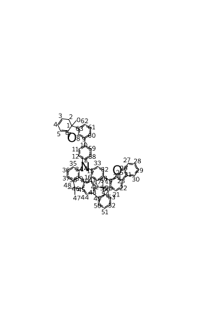 CC12CC=CC=C1Oc1c(-c3ccc(N(c4ccc(-c5cccc6c5oc5ccccc56)cc4)c4cccc5c4-c4cc6c(cc4C5(C)C)-c4ccccc4C6(C)C)cc3)cccc12